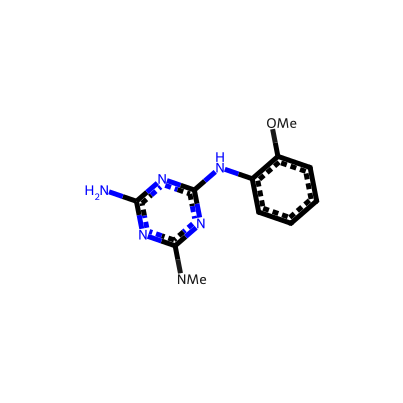 CNc1nc(N)nc(Nc2ccccc2OC)n1